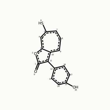 O=c1oc2cc(S)cccc-2c1-c1ccc(O)cc1